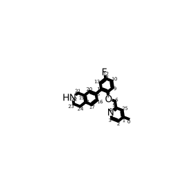 Cc1ccnc(COc2ccc(F)cc2-c2ccc3c(c2)CNCC3)c1